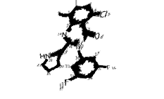 Cc1ccc(Cl)c2c(=O)n(-c3cc(F)cc(F)c3)c(C3CCCN3)nc12